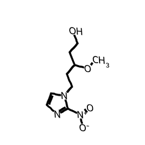 COC(CCO)CCn1ccnc1[N+](=O)[O-]